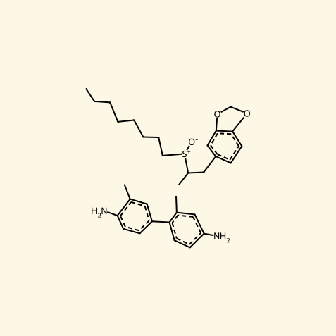 CCCCCCCC[S+]([O-])C(C)Cc1ccc2c(c1)OCO2.Cc1cc(-c2ccc(N)cc2C)ccc1N